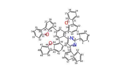 c1ccc(-c2nc(-c3c(-c4cccc5c4oc4ccccc45)cc(-c4cccc5c4oc4ccccc45)cc3-c3cccc4c3oc3ccccc34)cc(-c3cccc4ccccc34)n2)cc1